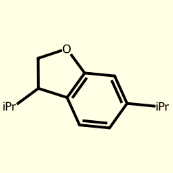 CC(C)c1ccc2c(c1)OCC2C(C)C